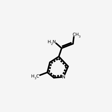 CC=C(N)c1cncc(C)c1